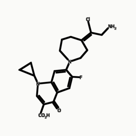 NCC(Cl)=C1CCCN(c2cc3c(cc2F)c(=O)c(C(=O)O)cn3C2CC2)CC1